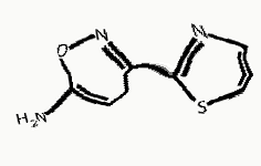 Nc1cc(-c2nccs2)no1